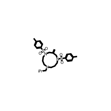 C=C1CN(S(=O)(=O)c2ccc(C)cc2)CCCN(CC(C)C)CCCN(S(=O)(=O)c2ccc(C)cc2)C1